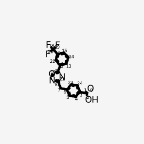 O=C(O)c1ccc(Cc2noc(-c3cccc(C(F)(F)F)c3)n2)cc1